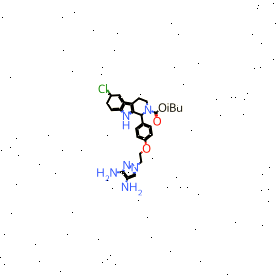 CC(C)COC(=O)N1CCc2c([nH]c3c2=CC(Cl)CC=3)C1c1ccc(OCCn2cc(N)c(N)n2)cc1